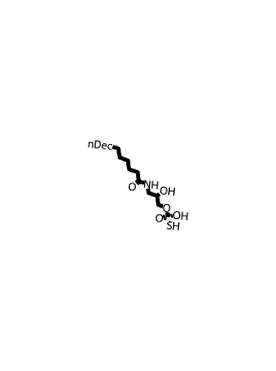 CCCCCCCCCCCCCCCC(=O)NCC(O)COP(=O)(O)S